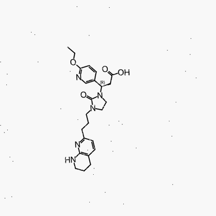 CCOc1ccc([C@@H](CC(=O)O)N2CCN(CCCc3ccc4c(n3)NCCC4)C2=O)cn1